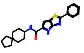 O=C(NC1CC[Si]2(CCCC2)CC1)c1cc2sc(-c3ccccc3)nc2[nH]1